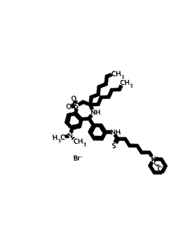 CCCCCCC1(CCCCCC)CS(=O)(=O)c2ccc(N(C)C)cc2C(c2cccc(NC(=S)CCCCC[N+]34CCC(CC3)CC4)c2)N1.[Br-]